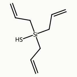 C=CC[Si](S)(CC=C)CC=C